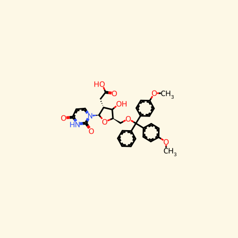 COc1ccc(C(OC[C@H]2O[C@@H](n3ccc(=O)[nH]c3=O)[C@H](CC(=O)O)C2O)(c2ccccc2)c2ccc(OC)cc2)cc1